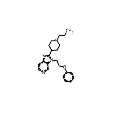 CCCN1CCC(c2nc3ccncc3n2CCOc2ccccc2)CC1